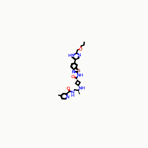 CCCOCC1N=CC(c2ccc3nc(NC(=O)[C@H]4C[C@@H](N[C@@H](C)CNC(=O)c5cc(C)ccn5)C4)sc3c2)=CN1